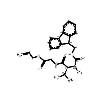 C=CCOC(=O)CNC(=O)[C@H](C(C)C)N(C)C(=O)OCC1c2ccccc2-c2ccccc21